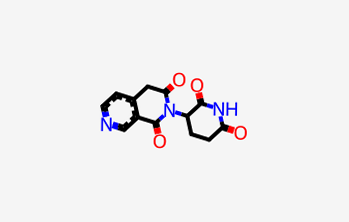 O=C1CCC(N2C(=O)Cc3ccncc3C2=O)C(=O)N1